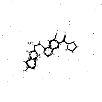 C[C@H](Nc1ncnc2cc(C(=O)N3CCCC3)c(Cl)cc12)c1nc2cc(Cl)ccc2[nH]1